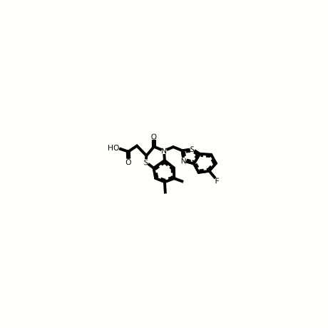 Cc1cc2c(cc1C)N(Cc1nc3cc(F)ccc3s1)C(=O)C(CC(=O)O)S2